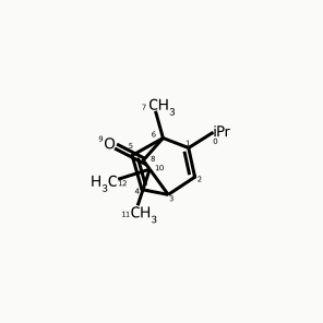 CC(C)C1=CC2C=CC1(C)C(=O)C2(C)C